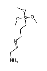 CO[Si](CCCN=CCN)(OC)OC